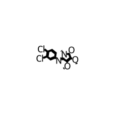 COC1=C(OC)/C(=N/c2ccc(Cl)c(Cl)c2)N(C)C1=O